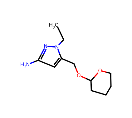 CCn1nc(N)cc1COC1CCCCO1